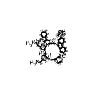 CN1C(=O)[C@H](CCCCN)NC(=O)[C@H](CCCN)NCc2nccnc2Sc2c(Cl)ccc(-c3ccc(S(=O)(=O)O)cc3)c2CNC(=O)[C@@H]1Cc1c[nH]c2ccccc12